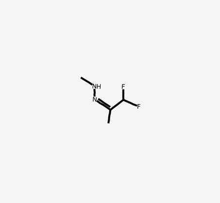 CNN=C(C)C(F)F